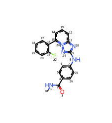 CNC(=O)c1ccc(Nc2nc3cccc(-c4ccccc4F)n3n2)cc1